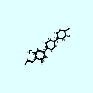 C/C=C/c1c(F)cc(C2CCC(C3CCC(C)CC3)CC2)cc1F